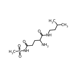 CC(C)CCNC(=O)C(N)CCC(=O)NS(C)(=O)=O